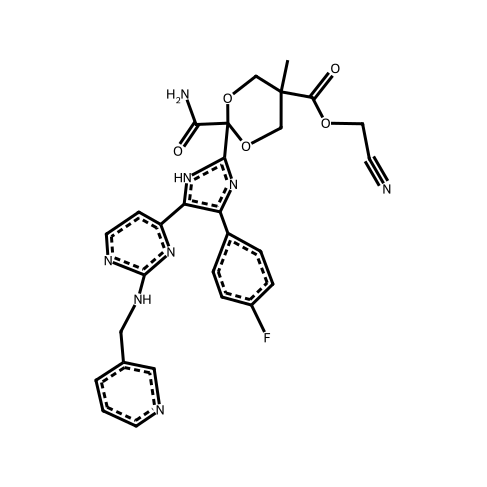 CC1(C(=O)OCC#N)COC(C(N)=O)(c2nc(-c3ccc(F)cc3)c(-c3ccnc(NCc4cccnc4)n3)[nH]2)OC1